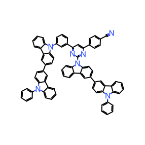 N#Cc1ccc(-c2cc(-c3cccc(-n4c5ccccc5c5cc(-c6ccc7c(c6)c6ccccc6n7-c6ccccc6)ccc54)c3)nc(-n3c4ccccc4c4cc(-c5ccc6c(c5)c5ccccc5n6-c5ccccc5)ccc43)n2)cc1